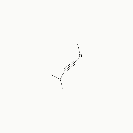 COC#CC(C)C